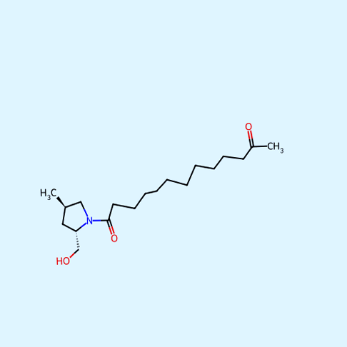 CC(=O)CCCCCCCCCCC(=O)N1C[C@H](C)C[C@H]1CO